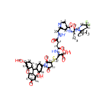 C[C@H](NC(=O)c1ccnc(CNC(=O)CCC(=O)NC(CSC2CC(=O)N(c3ccc(C4c5ccc(O)cc5OC5=CC(=O)C=CC54)c(O)c3)C2=O)C(=O)O)c1)C(=O)N1CC(F)(F)C[C@H]1C